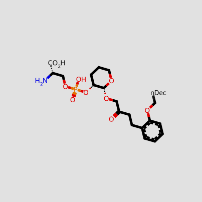 CCCCCCCCCCCOc1ccccc1CCC(=O)CO[C@H]1OCCC[C@H]1OP(=O)(O)OC[C@H](N)C(=O)O